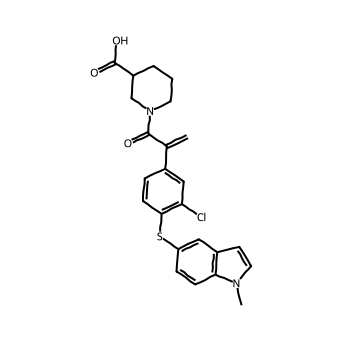 C=C(C(=O)N1CCCC(C(=O)O)C1)c1ccc(Sc2ccc3c(ccn3C)c2)c(Cl)c1